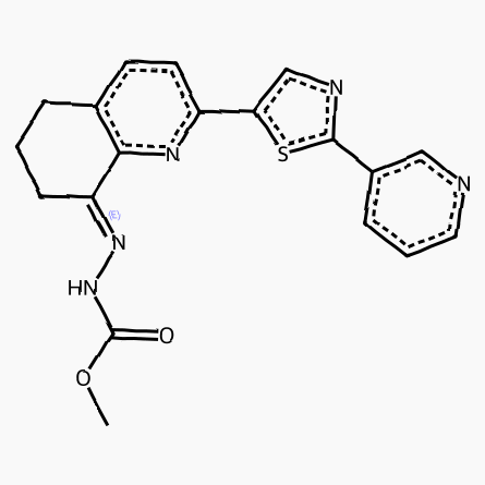 COC(=O)N/N=C1\CCCc2ccc(-c3cnc(-c4cccnc4)s3)nc21